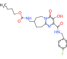 CCCCOC(=O)NCC1CCc2nc(C(=O)NCc3ccc(F)cc3)c(O)c(=O)n2CC1